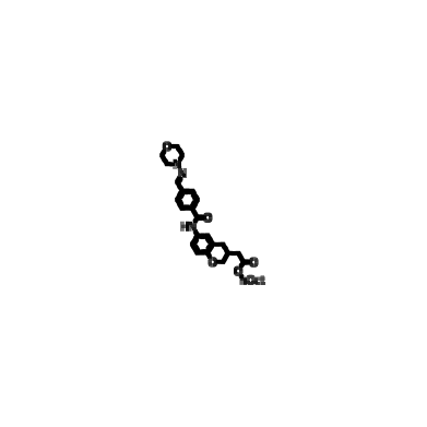 CCCCCCCCOC(=O)CC1COc2ccc(NC(=O)c3ccc(C=NN4CCOCC4)cc3)cc2C1